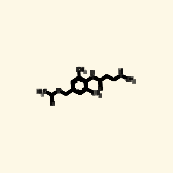 CNCCC(=O)Nc1c(C)cc(COC(C)=O)cc1C